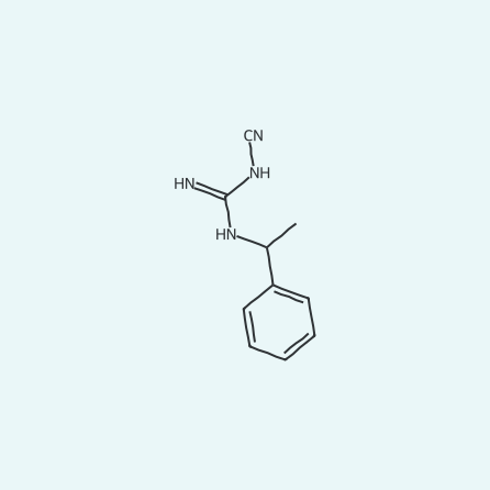 CC(NC(=N)NC#N)c1ccccc1